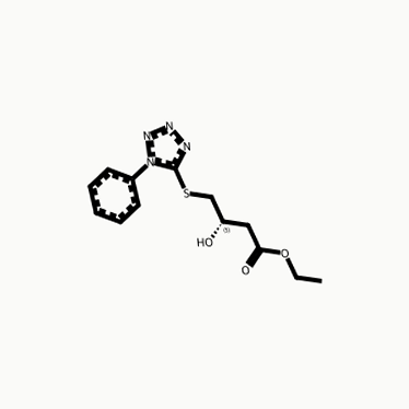 CCOC(=O)C[C@H](O)CSc1nnnn1-c1ccccc1